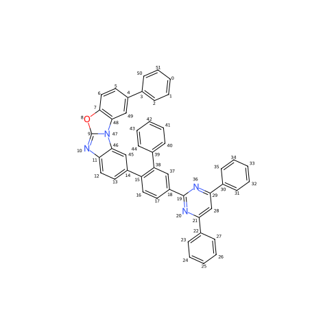 c1ccc(-c2ccc3oc4nc5ccc(-c6ccc(-c7nc(-c8ccccc8)cc(-c8ccccc8)n7)cc6-c6ccccc6)cc5n4c3c2)cc1